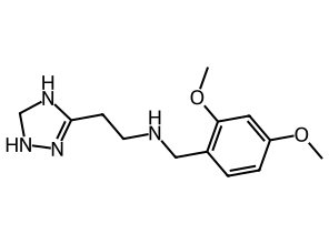 COc1ccc(CNCCC2=NNCN2)c(OC)c1